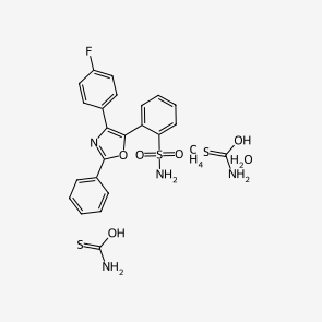 C.NC(O)=S.NC(O)=S.NS(=O)(=O)c1ccccc1-c1oc(-c2ccccc2)nc1-c1ccc(F)cc1.O